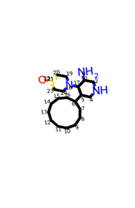 NC1CNCC(C2CCCCCCCCCC2)C1N1CC[S+]([O-])CC1